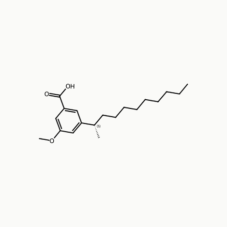 CCCCCCCCC[C@H](C)c1cc(OC)cc(C(=O)O)c1